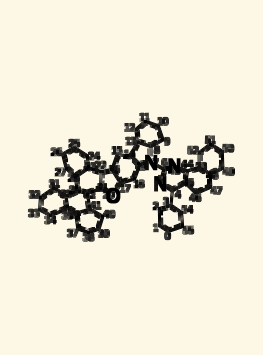 c1ccc(-c2nc(-n3c4ccccc4c4cc5c(cc43)oc3c5c4ccccc4c4c5ccccc5c5ccccc5c34)nc3c2ccc2ccccc23)cc1